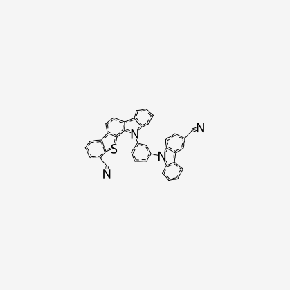 N#Cc1ccc2c(c1)c1ccccc1n2-c1cccc(-n2c3ccccc3c3ccc4c5cccc(C#N)c5sc4c32)c1